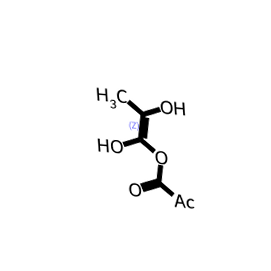 CC(=O)C(=O)O/C(O)=C(/C)O